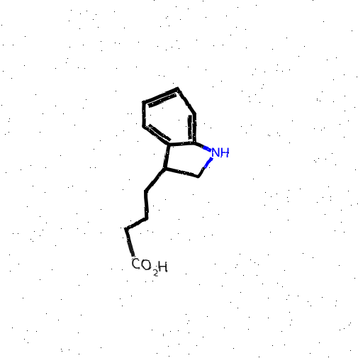 O=C(O)CCCC1CNc2ccccc21